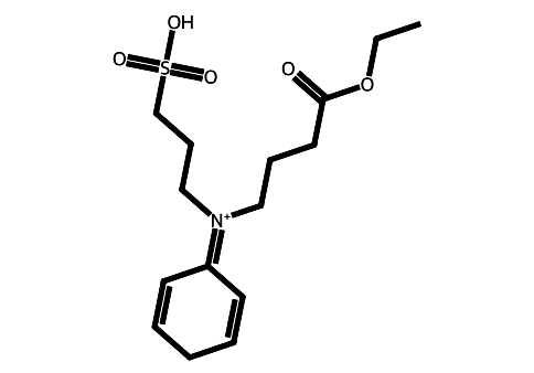 CCOC(=O)CCC[N+](CCCS(=O)(=O)O)=C1C=CCC=C1